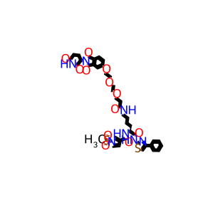 CS(=O)(=O)n1ccc(C(=O)N[C@@H](CCCCNC(=O)CCOCCOCCOc2ccc3c(c2)C(=O)N(C2CCC(=O)NC2=O)C3=O)C(=O)Nc2nc(-c3ccccc3)cs2)c1